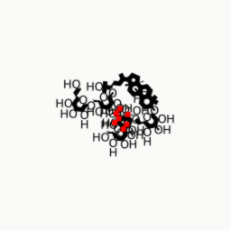 CC(CC[C@@H](O[C@@H]1O[C@H](CO[C@@H]2O[C@H](CCO)[C@@H](O)[C@H](O)[C@H]2O)[C@@H](O)[C@H](O)[C@H]1O[C@@H]1O[C@H](CO)[C@@H](O[C@@H]2O[C@H](CO)C(O)[C@H](O)C2O)[C@H](O)[C@H]1O)C(C)(C)O)C1CC[C@@]2(C)[C@@H]3CC=C4[C@@H](CC[C@H](O[C@@H]5O[C@H](CO[C@@H]6O[C@H](CO)[C@@H](O)[C@H](O)[C@H]6O)[C@@H](O)[C@H](O)[C@H]5O)C4(C)C)[C@]3(C)CC[C@]12C